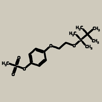 CC(C)(C)[Si](C)(C)OCCOc1ccc(OS(C)(=O)=O)cc1